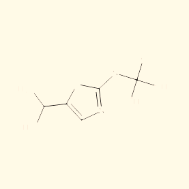 CC(C)c1cnc(NC(C)(C)C)s1